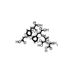 CC(C)[C@H](N)C(=O)O.NCC(=O)O.NCC(=O)O.N[C@@H](Cc1ccccc1)C(=O)O.N[C@@H](Cc1ccccc1)C(=O)O